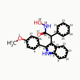 COc1ccc(-c2[nH]c3ccccc3c2C(C(=O)NO)c2ccccc2)cc1